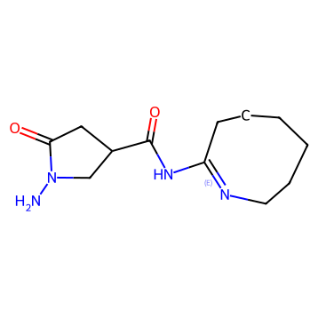 NN1CC(C(=O)N/C2=N/CCCCCC2)CC1=O